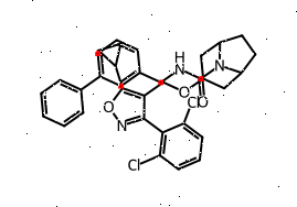 O=C(NCc1cccc(-c2ccccc2)c1)N1C2CCC1CC(OCc1c(-c3c(Cl)cccc3Cl)noc1C1CC1)C2